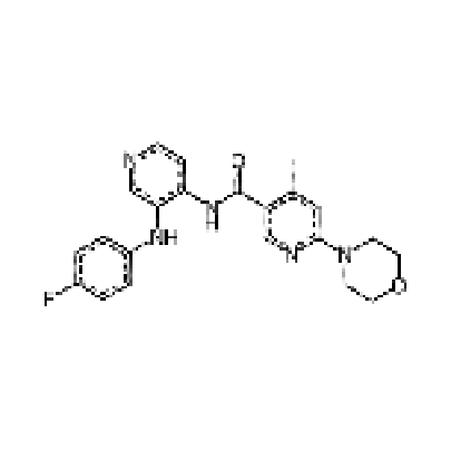 Cc1cc(N2CCOCC2)ncc1C(=O)Nc1ccncc1Nc1ccc(F)cc1